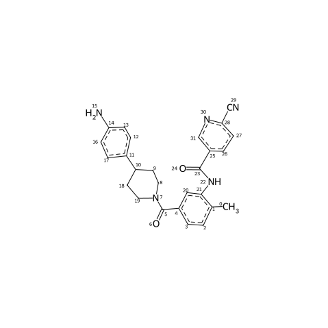 Cc1ccc(C(=O)N2CCC(c3ccc(N)cc3)CC2)cc1NC(=O)c1ccc(C#N)nc1